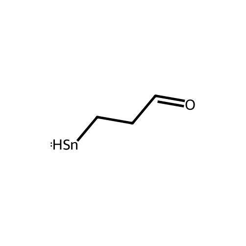 O=CC[CH2][SnH]